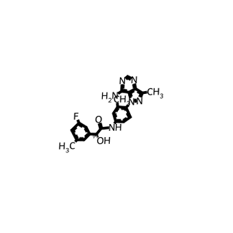 Cc1cc(F)cc([C@@H](O)C(=O)Nc2ccc(-n3nc(C)c4ncnc(N)c43)c(C)c2)c1